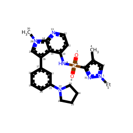 CCn1cc(C)c(S(=O)(=O)Nc2ccnc3c2c(-c2cccc(N4CCCC4)c2)cn3C)n1